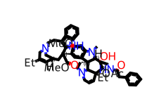 CCC1=C[C@@H]2CN(CCc3c([nH]c4ccccc34)[C@@](C(=O)OC)(c3cc4c(cc3OC)N(C)[C@H]3C(O)(CNC(=O)Cc5ccccc5)[C@H](OC(C)=O)[C@]5(CC)C=CCN6CC[C@]43C65)C2)C1